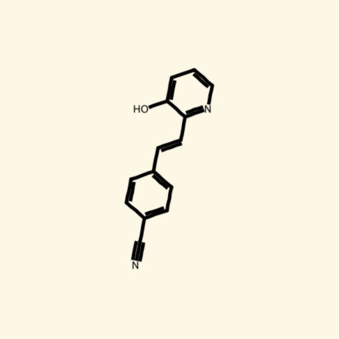 N#Cc1ccc(/C=C/c2ncccc2O)cc1